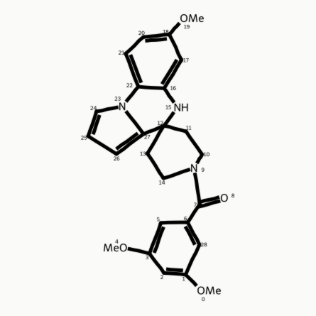 COc1cc(OC)cc(C(=O)N2CCC3(CC2)Nc2cc(OC)ccc2-n2cccc23)c1